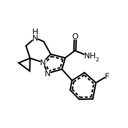 NC(=O)c1c(-c2cccc(F)c2)nn2c1CNCC21CC1